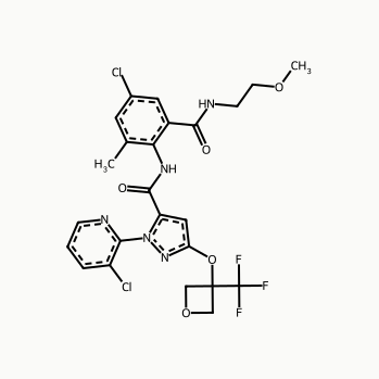 COCCNC(=O)c1cc(Cl)cc(C)c1NC(=O)c1cc(OC2(C(F)(F)F)COC2)nn1-c1ncccc1Cl